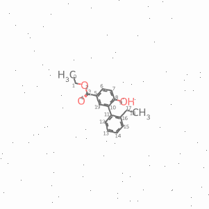 CCOC(=O)c1ccc(O)c(-c2ccccc2CC)c1